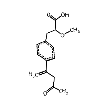 C=C(CC(C)=O)c1ccc(CC(OC)C(=O)O)cc1